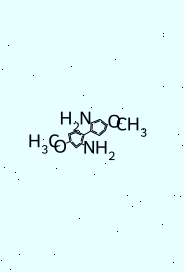 COc1ccc(-c2ccc(OC)cc2N)c(N)c1